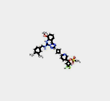 COc1cccc2c1nc(NCc1ccc(C)c(C)c1)n1nc([C@H]3C[C@@H](c4ccc(C5(OS(C)(=O)=O)CC(F)(F)C5)cn4)C3)nc21